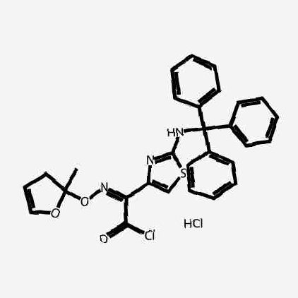 CC1(ON=C(C(=O)Cl)c2csc(NC(c3ccccc3)(c3ccccc3)c3ccccc3)n2)CC=CO1.Cl